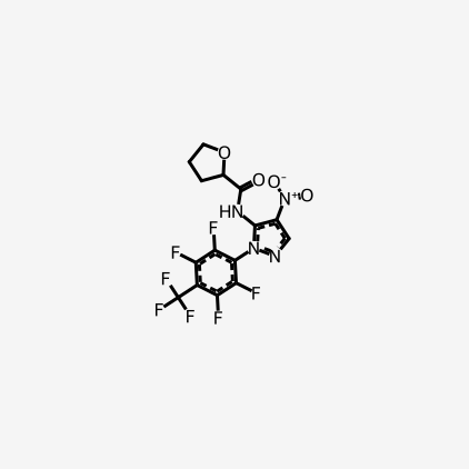 O=C(Nc1c([N+](=O)[O-])cnn1-c1c(F)c(F)c(C(F)(F)F)c(F)c1F)C1CCCO1